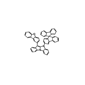 c1ccc2c(c1)-c1ccccc1C21c2ccccc2-c2cc(-n3c4ccccc4n4c5ccccc5c(-c5ccc6oc7ccccc7c6c5)c34)ccc21